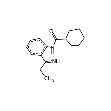 CCC(=N)c1ccccc1NC(=O)C1CCCCC1